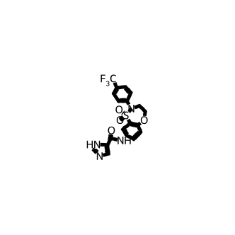 O=C(Nc1ccc2c(c1)S(=O)(=O)N(c1ccc(C(F)(F)F)cc1)CCO2)c1cnc[nH]1